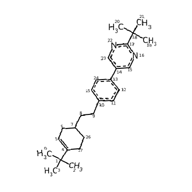 CC(C)(C)C1=CCC(CCc2ccc(-c3cnc(C(C)(C)C)nc3)cc2)CC1